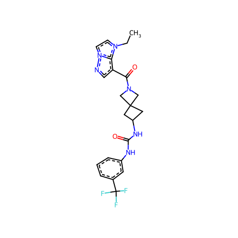 CCn1ccn2ncc(C(=O)N3CC4(CC(NC(=O)Nc5cccc(C(F)(F)F)c5)C4)C3)c12